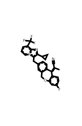 CC(C#N)=C1c2ccc(Cc3c(C4CC4)nc4c(C(F)(F)F)cccn34)cc2COc2cc(F)ccc21